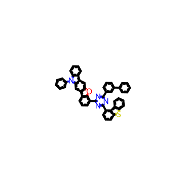 c1ccc(-c2cccc(-c3nc(-c4cccc5c4oc4cc6c7ccccc7n(-c7ccccc7)c6cc45)nc(-c4cccc5sc6ccccc6c45)n3)c2)cc1